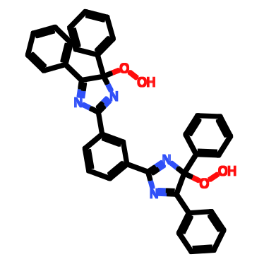 OOC1(c2ccccc2)N=C(c2cccc(C3=NC(OO)(c4ccccc4)C(c4ccccc4)=N3)c2)N=C1c1ccccc1